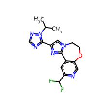 CC(C)n1ncnc1-c1cn2c(n1)-c1cc(C(F)F)ncc1OCC2